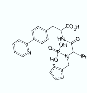 CC(C)C(C(=O)NC(Cc1ccc(-c2ccccn2)cc1)C(=O)O)N(Cc1cccs1)P(=O)(O)O